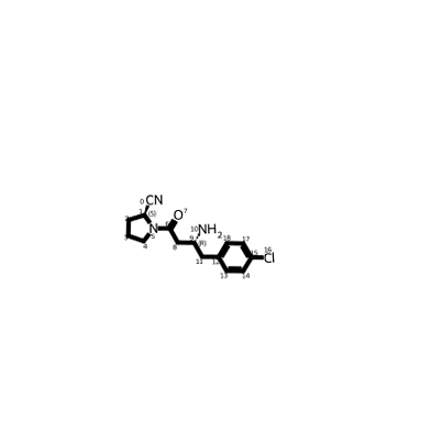 N#C[C@@H]1CCCN1C(=O)C[C@H](N)Cc1ccc(Cl)cc1